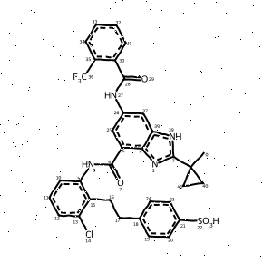 CC1(c2nc3c(C(=O)Nc4cccc(Cl)c4CCc4ccc(S(=O)(=O)O)cc4)cc(NC(=O)c4ccccc4C(F)(F)F)cc3[nH]2)CC1